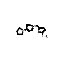 Cc1ccc(C[n+]2ccc(N3CCCC3)cc2)s1